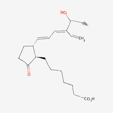 C=C/C(=C\C=C\[C@H]1CCC(=O)[C@@H]1CCCCCCC(=O)O)C(O)CCCC